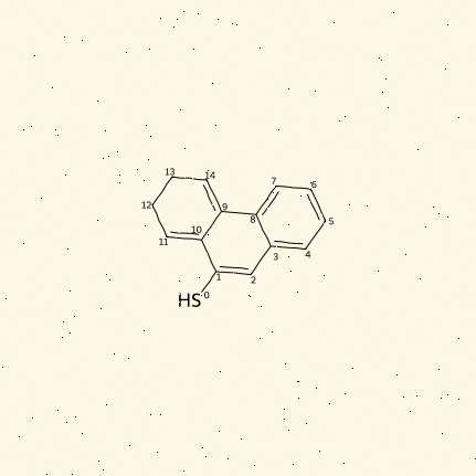 Sc1cc2ccccc2c2c1=CCCC=2